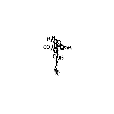 [N-]=[N+]=NCCCCCCNC(=O)Cc1ccc(C(=O)O)c(-c2c3ccc(=N)cc-3oc3cc(N)ccc23)c1